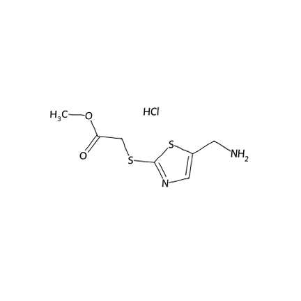 COC(=O)CSc1ncc(CN)s1.Cl